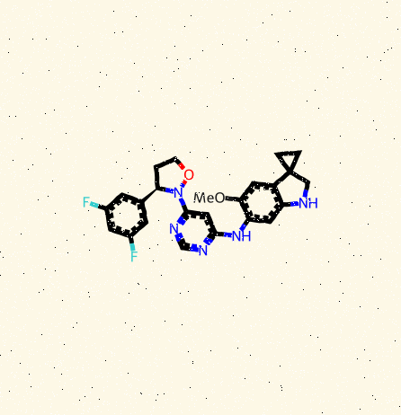 COc1cc2c(cc1Nc1cc(N3OCC[C@@H]3c3cc(F)cc(F)c3)ncn1)NCC21CC1